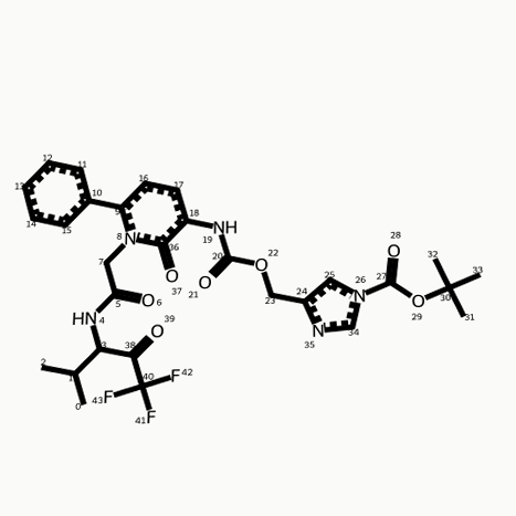 CC(C)C(NC(=O)Cn1c(-c2ccccc2)ccc(NC(=O)OCc2cn(C(=O)OC(C)(C)C)cn2)c1=O)C(=O)C(F)(F)F